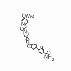 COc1ccc(CC(=O)N2CCC3(CC2)CN([C@@H]2CCc4cc(-c5ccc(C(N)=O)cn5)ccc42)C3)nc1